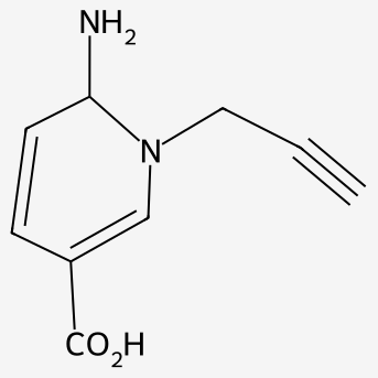 C#CCN1C=C(C(=O)O)C=CC1N